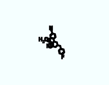 COc1cc(C#N)ccc1C1CC(Cc2ccc(F)cc2)Cc2cncn21